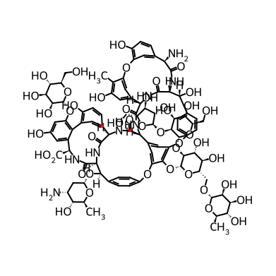 Cc1c(O)cc2cc1Oc1cc(ccc1O)[C@@H](N)C(=O)N[C@H]1C(=O)N[C@@H]2C(=O)N[C@H]2C(=O)N[C@H]3C(=O)N[C@H](C(=O)N[C@@H](C(=O)O)c4cc(O)cc(O[C@H]5O[C@H](CO)[C@@H](O)[C@H](O)[C@@H]5O)c4-c4cc3ccc4O)[C@H](O[C@H]3C[C@@H](N)[C@@H](O)[C@H](C)O3)c3ccc(cc3)Oc3cc2cc(c3O[C@H]2O[C@@H](CO[C@H]3O[C@H](C)[C@@H](O)[C@H](O)[C@@H]3O)[C@H](O)[C@@H](O)[C@@H]2O[C@H]2O[C@H](CO)[C@@H](O)[C@H](O)[C@@H]2O[C@H]2O[C@H](CO)[C@@H](O)[C@@H]2O)Oc2ccc(cc2)[C@H]1O